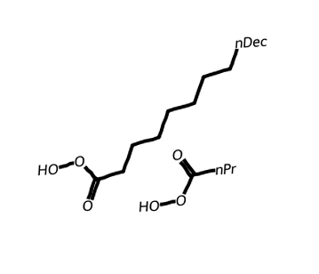 CCCC(=O)OO.CCCCCCCCCCCCCCCCCC(=O)OO